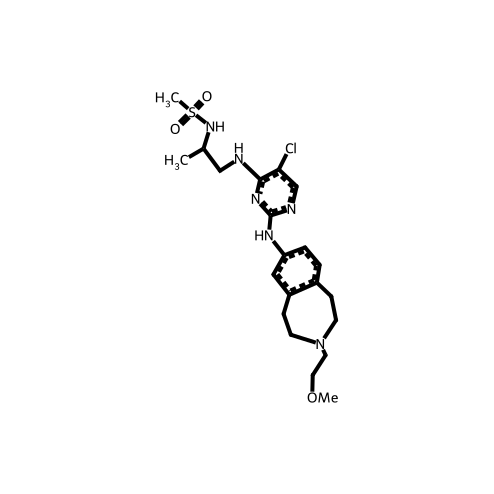 COCCN1CCc2ccc(Nc3ncc(Cl)c(NCC(C)NS(C)(=O)=O)n3)cc2CC1